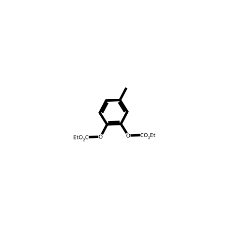 CCOC(=O)Oc1ccc(C)cc1OC(=O)OCC